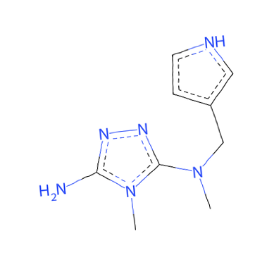 CN(Cc1cc[nH]c1)c1nnc(N)n1C